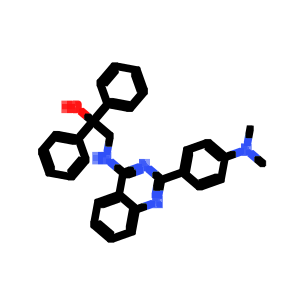 CN(C)c1ccc(-c2nc(NCC(O)(c3ccccc3)c3ccccc3)c3ccccc3n2)cc1